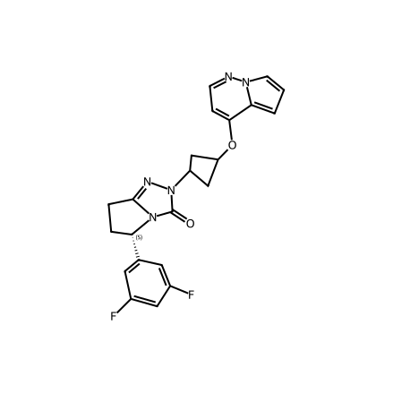 O=c1n(C2CC(Oc3ccnn4cccc34)C2)nc2n1[C@H](c1cc(F)cc(F)c1)CC2